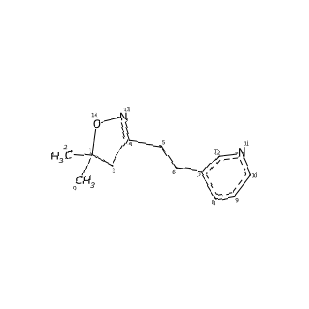 CC1(C)CC(CCc2cccnc2)=NO1